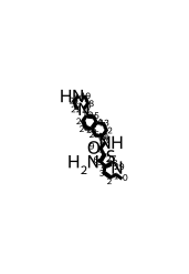 Cc1ccc2c(N)c(C(=O)N[C@H]3CCc4cc(N5CCNCC5)ccc4C3)sc2n1